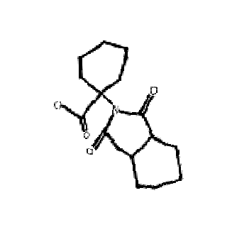 O=C1C2CCCCC2C(=O)N1C1(C(=O)Cl)CCCCC1